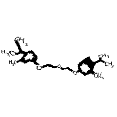 Cc1cc(OCCOCCOc2ccc(C(C)C)c(C)c2)ccc1C(C)C